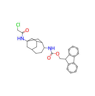 O=C(CCl)NC12CC3CCC(NC(=O)OCC4c5ccccc5-c5ccccc54)C(C1)C(C3)C2